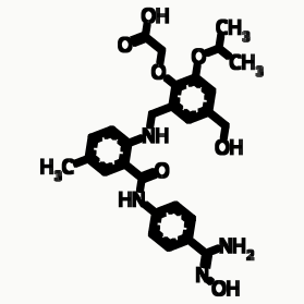 Cc1ccc(NCc2cc(CO)cc(OC(C)C)c2OCC(=O)O)c(C(=O)Nc2ccc(/C(N)=N/O)cc2)c1